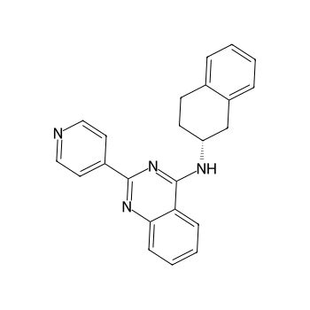 c1ccc2c(c1)CC[C@@H](Nc1nc(-c3ccncc3)nc3ccccc13)C2